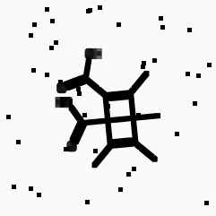 CC1=C(C)C2(C(=O)O)C(C(=O)O)=C(C)C12C